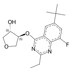 CCc1nc(O[C@H]2COC[C@@H]2O)c2cc(C(C)(C)C)cc(F)c2n1